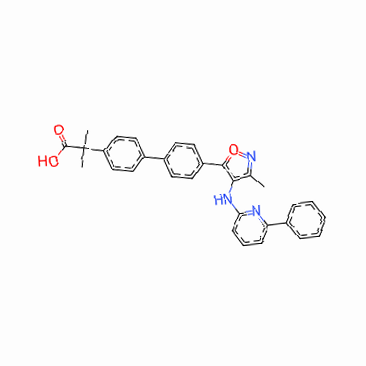 Cc1noc(-c2ccc(-c3ccc(C(C)(C)C(=O)O)cc3)cc2)c1Nc1cccc(-c2ccccc2)n1